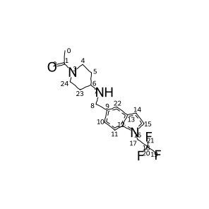 CC(=O)N1CCC(NCc2ccc3c(ccn3CC(F)(F)F)c2)CC1